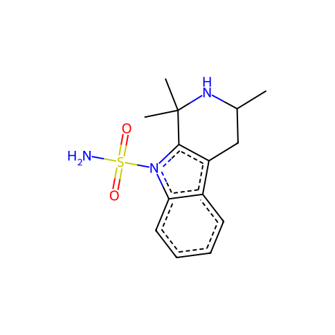 CC1Cc2c(n(S(N)(=O)=O)c3ccccc23)C(C)(C)N1